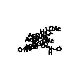 COC(=O)[C@@]1(OCCCNCCc2ccccc2)C[C@@H](OC(C)=O)C(NC(=O)Cn2cc(C3CCCCC3)nn2)C([C@H](OC(C)=O)[C@@H](CNC(=O)c2cc(C)c(OC(C)=O)c(C)c2)OC(C)=O)O1